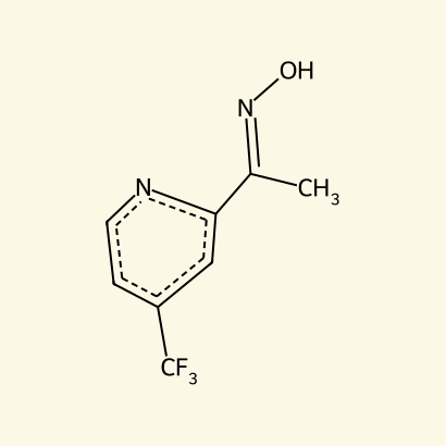 CC(=NO)c1cc(C(F)(F)F)ccn1